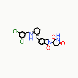 O=C1CCC(N2Cc3cc(C[C@H]4CCCC[C@@H]4NCc4cc(Cl)cc(Cl)c4)ccc3C2=O)C(=O)N1